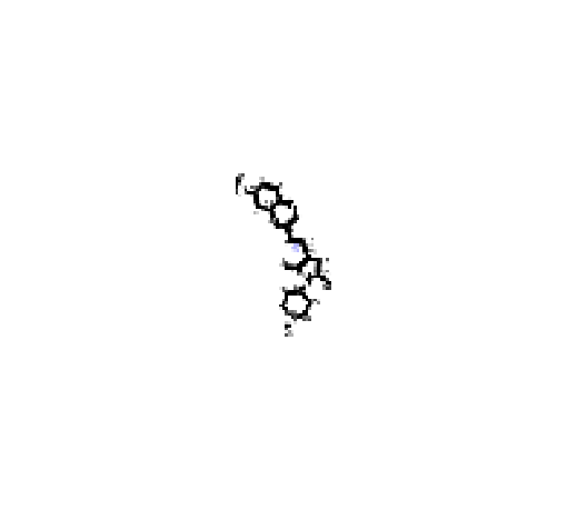 COc1ccc2ncc(/C=C/c3cc(C)n(C4CCN(C)CC4)c3C)nc2c1